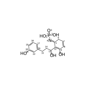 O=P(O)(O)N=C1CC=CC(O)=C1C(O)CCc1cccc(O)c1